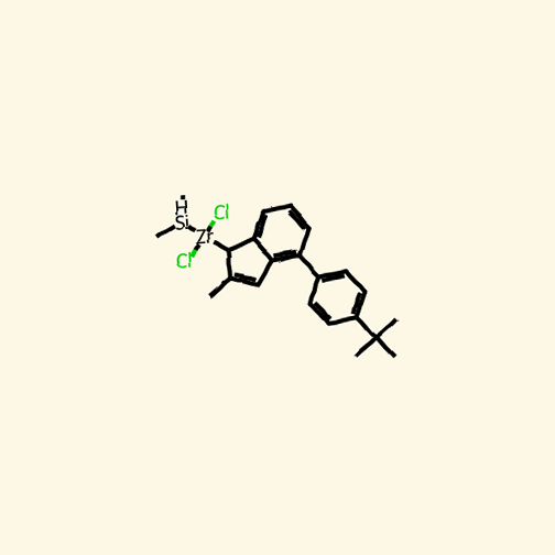 CC1=Cc2c(-c3ccc(C(C)(C)C)cc3)cccc2[CH]1[Zr]([Cl])([Cl])[SiH](C)C